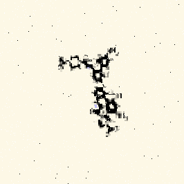 CC(=O)N1CCN(C(=O)/C=C/c2ccc(Sc3ccc(/C=C/C(=O)N4CCN(C(C)=O)CC4)c(-c4ccc(N)cc4O)c3Cl)c(Cl)c2-c2ccc(N)cc2O)CC1